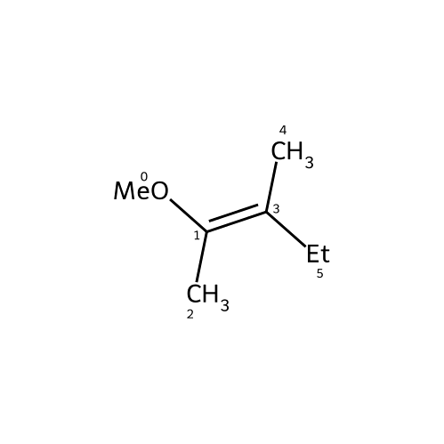 [C]OC(C)=C(C)CC